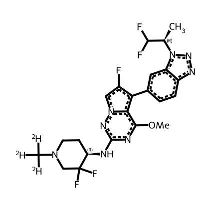 [2H]C([2H])([2H])N1CC[C@@H](Nc2nc(OC)c3c(-c4ccc5nnn([C@H](C)C(F)F)c5c4)c(F)cn3n2)C(F)(F)C1